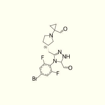 O=CC1NN=C(C[C@@H]2CCN(C3(C=O)CC3)C2)N1c1c(F)cc(Br)cc1F